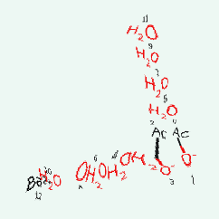 CC(=O)[O-].CC(=O)[O-].O.O.O.O.O.O.O.O.[Ba+2]